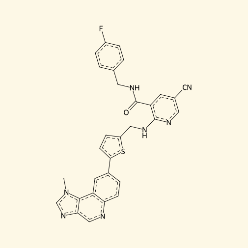 Cn1cnc2cnc3ccc(-c4ccc(CNc5ncc(C#N)cc5C(=O)NCc5ccc(F)cc5)s4)cc3c21